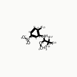 COC(Nc1cc([N+](=O)[O-])ccc1F)C(F)(F)F